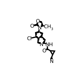 Cc1coc(=O)n1-c1cc(Cl)c2cnc(NC(=O)C3CC3C#N)cc2c1